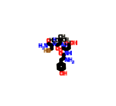 CC(C)(C)C(NC(=O)C(CC(=O)O)NC(=O)C(N)Cc1ccc(O)cc1)C(=O)NC(CS)C(N)=O